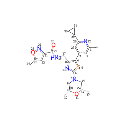 Cc1cc(-c2sc(N3C[C@@H](C)O[C@@H](C)C3)nc2CNC(=O)c2cc(C)on2)cc(C2CC2)n1